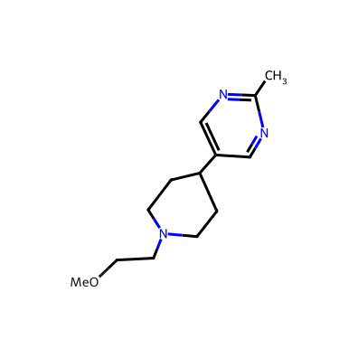 COCCN1CCC(c2cnc(C)nc2)CC1